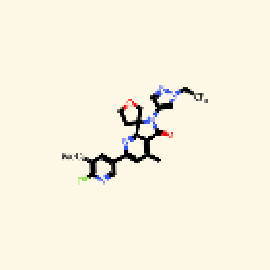 COc1cc(-c2cc(C)c3c(n2)C2(CCOC2)N(c2cnn(CC(F)(F)F)c2)C3=O)cnc1F